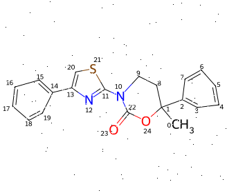 CC1(c2ccccc2)CCN(c2nc(-c3ccccc3)cs2)C(=O)O1